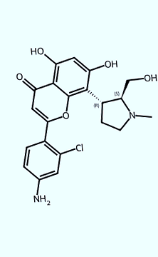 CN1CC[C@H](c2c(O)cc(O)c3c(=O)cc(-c4ccc(N)cc4Cl)oc23)[C@H]1CO